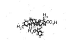 Cc1oc([C@@H](Cc2cn(C)c3ccccc23)NC(=O)[C@H](CC(C)C)NC(=O)NC2CCCC(C)C2)nc1C(=O)O